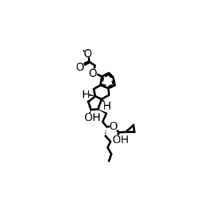 CCCCC[C@H](CC[C@@H]1[C@H]2Cc3cccc(OCC(=O)OC)c3C[C@H]2C[C@H]1O)OC(O)C1CC1